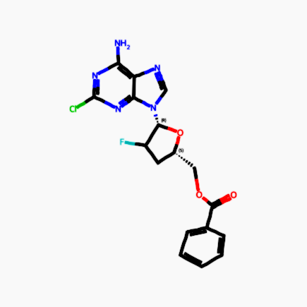 Nc1nc(Cl)nc2c1ncn2[C@@H]1O[C@H](COC(=O)c2ccccc2)CC1F